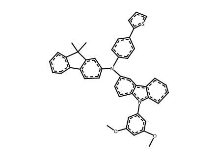 COc1cc(OC)cc(-n2c3ccccc3c3cc(N(c4ccc(-c5cccs5)cc4)c4ccc5c(c4)C(C)(C)c4ccccc4-5)ccc32)c1